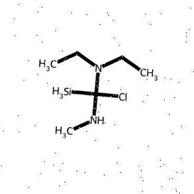 CCN(CC)C([SiH3])(Cl)NC